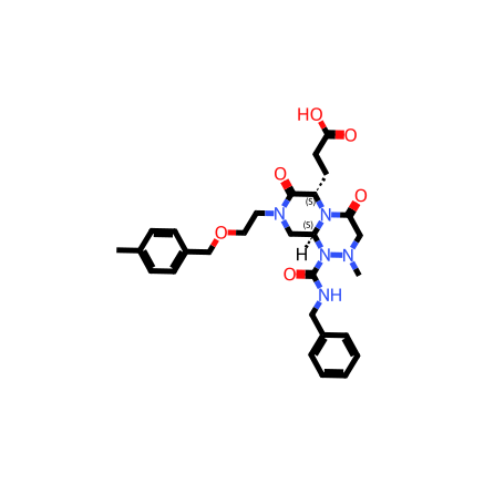 Cc1ccc(COCCN2C[C@H]3N(C(=O)CN(C)N3C(=O)NCc3ccccc3)[C@@H](CCC(=O)O)C2=O)cc1